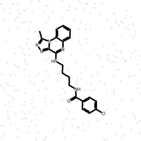 Cc1nnc2c(NCCCCNC(=O)c3ccc(Cl)cc3)nc3ccccc3n12